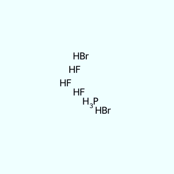 Br.Br.F.F.F.P